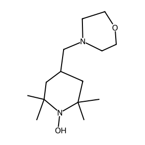 CC1(C)CC(CN2CCOCC2)CC(C)(C)N1O